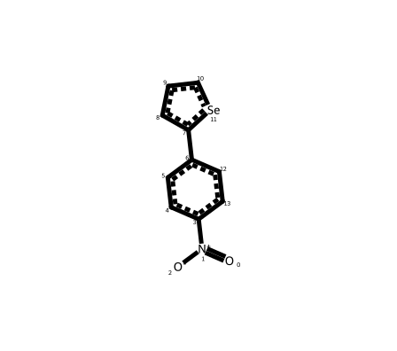 O=[N+]([O-])c1ccc(-c2ccc[se]2)cc1